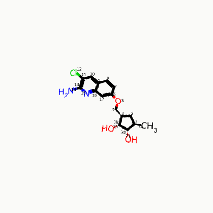 C[C@@H]1C[C@H](COc2ccc3cc(Cl)c(N)nc3c2)[C@@H](O)[C@H]1O